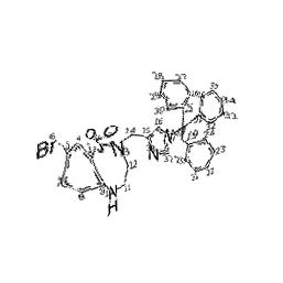 O=S1(=O)c2cc(Br)ccc2NCCN1Cc1cn(C(c2ccccc2)(c2ccccc2)c2ccccc2)cn1